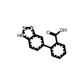 O=C(O)c1ccccc1-c1ccc2[nH]nnc2c1